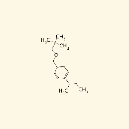 CCC(C)c1ccc(COCC(C)(C)C)cc1